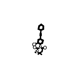 CN1C(=O)N(c2ccc(C#Cc3ccccc3)cc2Cl)C(=O)CC1(C)C